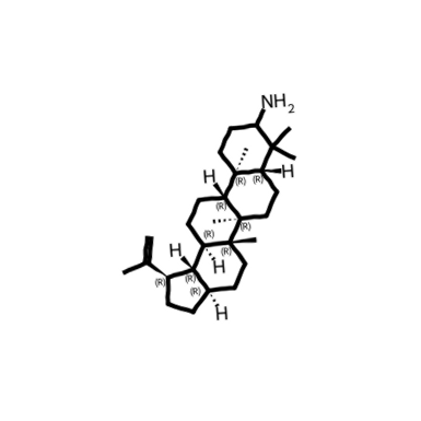 C=C(C)[C@@H]1CC[C@@H]2CC[C@]3(C)[C@H](CC[C@@H]4[C@@]5(C)CCC(N)C(C)(C)[C@@H]5CC[C@]43C)[C@H]21